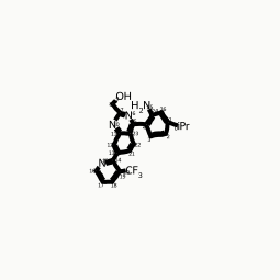 CC(C)c1ccc(-c2nc(CO)nc3cc(-c4ncccc4C(F)(F)F)ccc23)c(N)c1